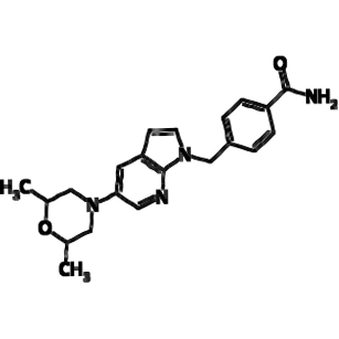 CC1CN(c2cnc3c(ccn3Cc3ccc(C(N)=O)cc3)c2)CC(C)O1